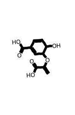 C=C(OC1C=C(C(=O)O)C=CC1O)C(=O)O